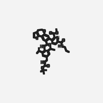 CCCNC(=O)c1ccc(-c2cc3c(cc2C(=O)Nc2c(C(C)C)cc(CNC(=O)OC(C)(C)C)cc2C(C)C)-c2sccc2CCO3)c(C(=O)OC)n1